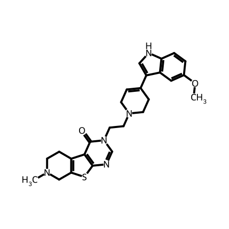 COc1ccc2[nH]cc(C3=CCN(CCn4cnc5sc6c(c5c4=O)CCN(C)C6)CC3)c2c1